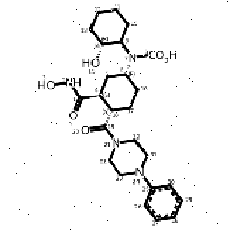 O=C(NO)[C@H]1C[C@H](N(C(=O)O)C2CCCC[C@H]2O)CC[C@@H]1C(=O)N1CCN(c2ccccc2)CC1